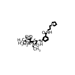 CCN1C(=O)[C@@H](CNc2cccc(C(=O)NCCCN3CCCC3)c2)S/C1=C(/N)C(=O)N(C)C(C)(C)C